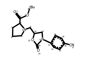 CC(C)(C)OC(=O)C1CCCN1CC1CN(c2ccc(C#N)cc2)C(=O)O1